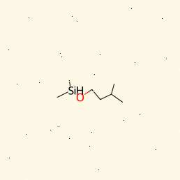 CC(C)CCO[SiH](C)C